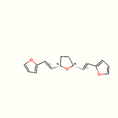 C(=C\[C@@H]1CC[C@H](/C=C/c2ccco2)O1)/c1ccco1